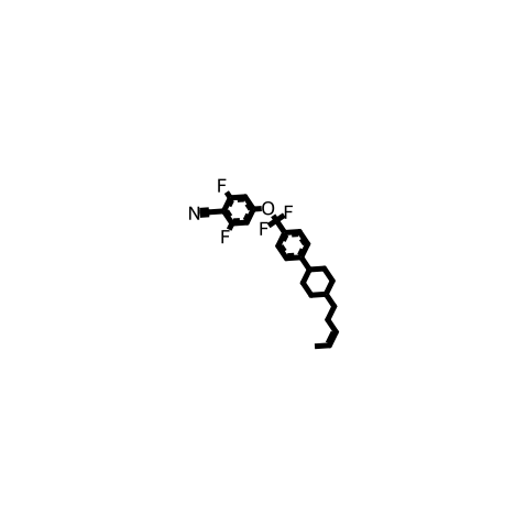 C/C=C\CCC1CCC(c2ccc(C(F)(F)Oc3cc(F)c(C#N)c(F)c3)cc2)CC1